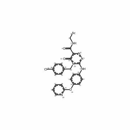 CC(=O)CNC(=O)c1nnc(Nc2ccc(Oc3ccccn3)cc2)n(Cc2ccc(Cl)cc2)c1=O